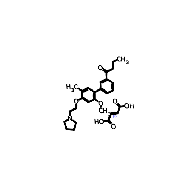 CCCC(=O)c1cccc(-c2cc(C)c(OCCN3CCCC3)cc2OC)c1.O=C(O)/C=C/C(=O)O